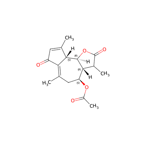 CC(=O)O[C@H]1CC(C)=C2C(=O)C=C(C)[C@@H]2[C@H]2OC(=O)C(C)[C@@H]21